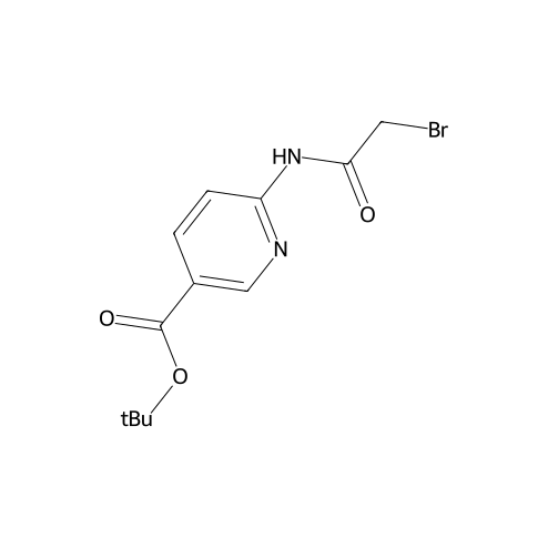 CC(C)(C)OC(=O)c1ccc(NC(=O)CBr)nc1